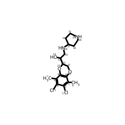 Cc1c(Cl)c(Cl)c(C)c2c1OCC(C(O)CNC1CCNCC1)O2